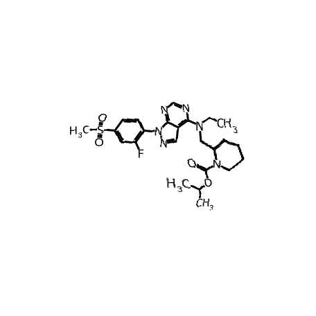 CCN(CC1CCCCN1C(=O)OC(C)C)c1ncnc2c1cnn2-c1ccc(S(C)(=O)=O)cc1F